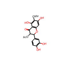 COc1c(O)cc2c(c1O)C(=O)C(OC(C)=O)C(c1ccc(O)c(O)c1)O2